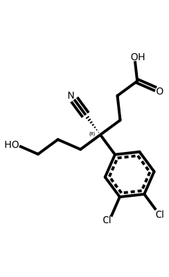 N#C[C@](CCCO)(CCC(=O)O)c1ccc(Cl)c(Cl)c1